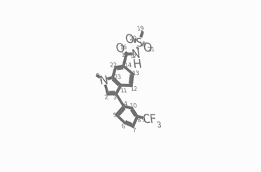 Cn1cc(-c2cccc(C(F)(F)F)c2)c2ccc(C(=O)NS(C)(=O)=O)cc21